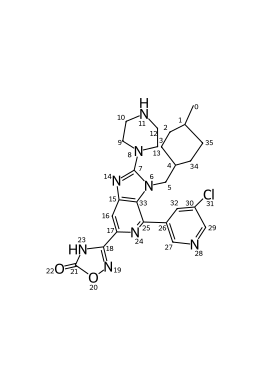 CC1CCC(Cn2c(N3CCNCC3)nc3cc(-c4noc(=O)[nH]4)nc(-c4cncc(Cl)c4)c32)CC1